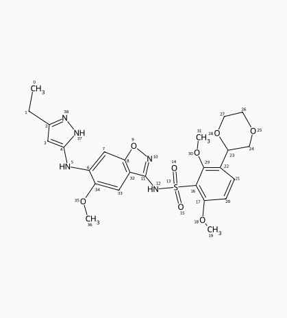 CCc1cc(Nc2cc3onc(NS(=O)(=O)c4c(OC)ccc(C5COCCO5)c4OC)c3cc2OC)[nH]n1